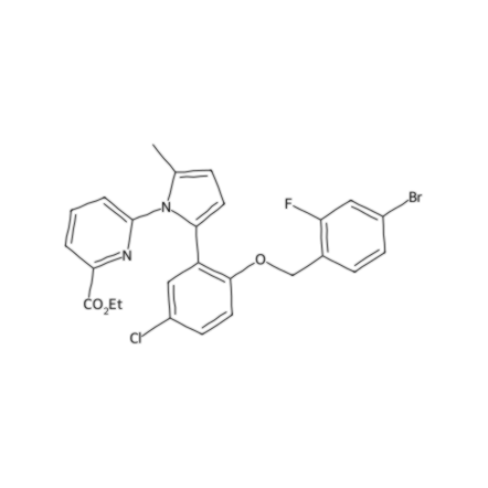 CCOC(=O)c1cccc(-n2c(C)ccc2-c2cc(Cl)ccc2OCc2ccc(Br)cc2F)n1